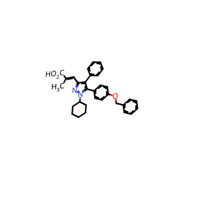 CC(=Cc1nn(C2CCCCC2)c(-c2ccc(OCc3ccccc3)cc2)c1-c1ccccc1)C(=O)O